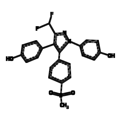 CS(=O)(=O)c1ccc(-c2c(-c3ccc(O)cc3)c(C(F)F)nn2-c2ccc(O)cc2)cc1